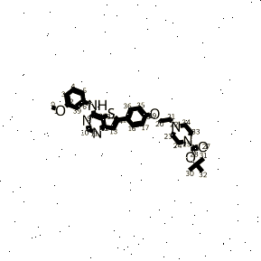 COc1cccc(Nc2ncnc3cc(-c4ccc(OCCN5CCN(C(=O)OC(C)(C)C)CC5)cc4)sc23)c1